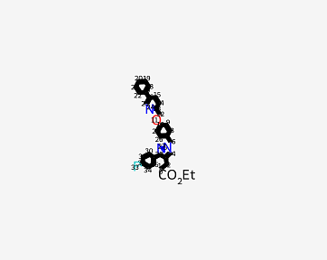 CCOC(=O)CCc1cn(Cc2ccc(OCc3ccc(-c4ccccc4)cn3)cc2)nc1-c1ccc(F)cc1